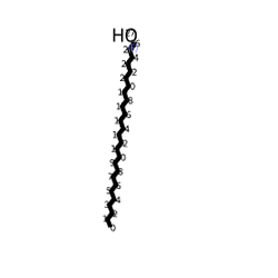 CCCCCCCCCCCCCCCCCCCCCCCCC/C=C/O